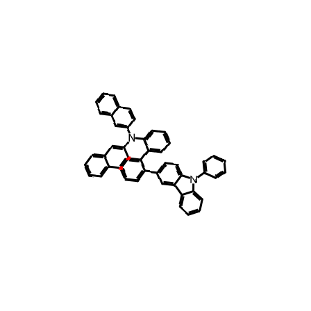 c1ccc(-n2c3ccccc3c3cc(-c4ccccc4-c4ccccc4N(c4ccc5ccccc5c4)c4ccc5ccccc5c4)ccc32)cc1